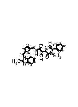 Cc1nc2ccccc2n1Cc1ccc(CNC(=O)[C@H](O)[C@@H](O)C(=O)N(C)[C@H](C)c2ccccc2)s1